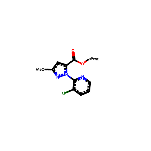 CCCCCOC(=O)c1cc(OC)nn1-c1ncccc1Cl